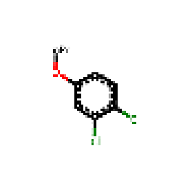 CCCOc1ccc(Cl)c(Cl)c1